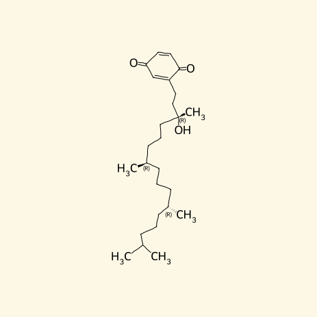 CC(C)CCC[C@@H](C)CCC[C@@H](C)CCC[C@@](C)(O)CCC1=CC(=O)C=CC1=O